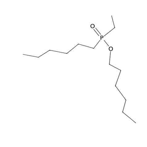 CCCCCCOP(=O)(CC)CCCCCC